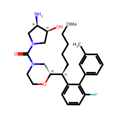 COCCCC[C@@H](c1cccc(F)c1-c1cccc(C)c1)[C@H]1CN(C(=O)N2C[C@@H](N)[C@@H](O)C2)CCO1